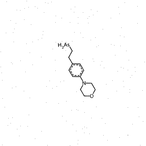 [AsH2]CCc1ccc(N2CCOCC2)cc1